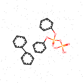 O=P(O)(O)OP(=O)(Oc1ccccc1)Oc1ccccc1.c1ccc(-c2ccccc2)cc1